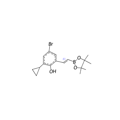 CC1(C)OB(/C=C/c2cc(Br)cc(C3CC3)c2O)OC1(C)C